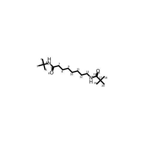 CC(C)(C)NC(=O)CCCCCCCNC(=O)C(C)(C)C